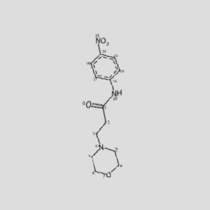 O=C(CCN1CCOCC1)Nc1ccc([N+](=O)[O-])cc1